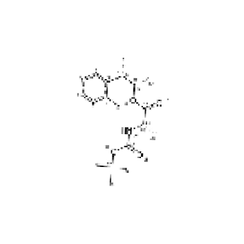 Cc1ccccc1[C@H](C)[C@H](C)OC(=O)[C@H](C)NC(=O)OC(C)(C)C